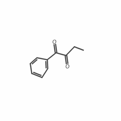 CCC(=O)C(=O)c1ccccc1